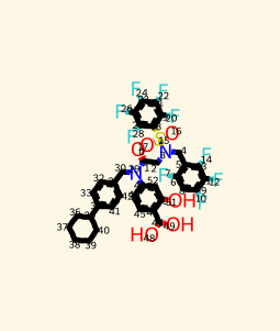 O=C(CN(Cc1c(F)cc(F)c(F)c1F)S(=O)(=O)c1c(F)c(F)c(F)c(F)c1F)N(Cc1ccc(C2CCCCC2)cc1)c1ccc(C(O)O)c(O)c1